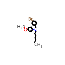 CCCCCCCN(Cc1ccc(Br)cc1)c1ccc(OC)cc1